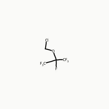 FC(F)(F)C(F)(OCCl)C(F)(F)F